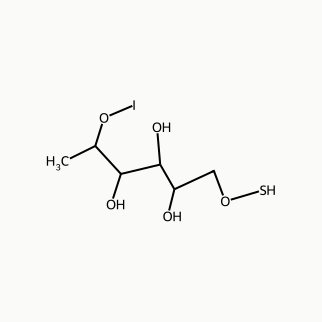 CC(OI)C(O)C(O)C(O)COS